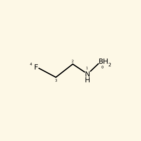 BNCCF